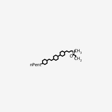 C=CC(=O)N(C)CCCC1CCC(C2CCC(CCC3CCC(CCCCC)CC3)CC2)CC1